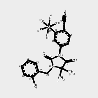 CC1(C)C(=O)N(c2ccc(C#N)c(S(F)(F)(F)(F)F)c2)C(=O)N1Cc1ccccc1Br